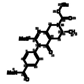 CNC(=O)c1ccc(-n2c(SC)nc3c(c2=O)C[C@@H](C)N(C(=O)OC(C)(C)C)C3)cc1